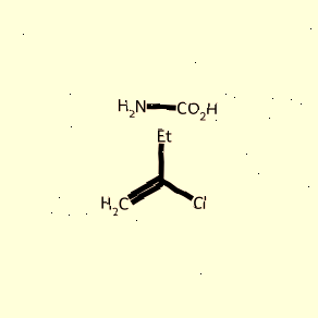 C=C(Cl)CC.NC(=O)O